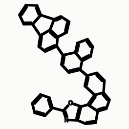 c1ccc(-c2nc3ccc4ccc5ccc(-c6ccc(-c7ccc8c9c(cccc79)-c7ccccc7-8)c7ccccc67)cc5c4c3o2)cc1